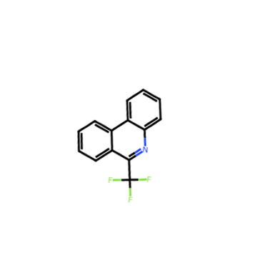 FC(F)(F)c1nc2ccccc2c2ccccc12